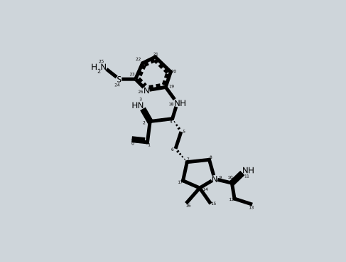 C=CC(=N)[C@@H](CC[C@@H]1CN(C(=N)CC)C(C)(C)C1)Nc1cccc(SN)n1